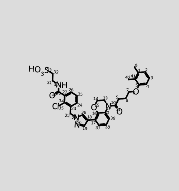 Cc1cccc(OCCCC(=O)N2CCOc3c(-c4cnn(Cc5cccc(C(=O)NCCS(=O)(=O)O)c5Cl)c4)cccc32)c1C